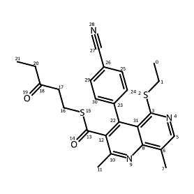 CCSc1ncc(C)c2nc(C)c(C(=O)SCCC(=O)CC)c(-c3ccc(C#N)cc3)c12